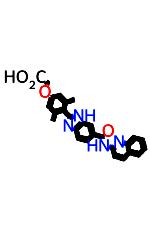 Cc1cc(OCC(=O)O)cc(C)c1-c1nc2ccc(C(=O)Nc3ccc4ccccc4n3)cc2[nH]1